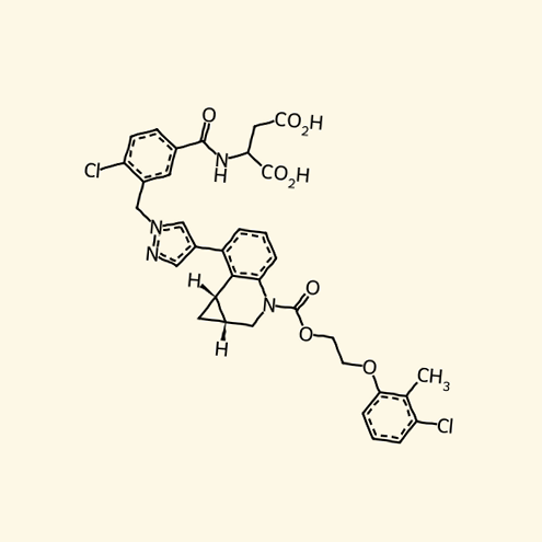 Cc1c(Cl)cccc1OCCOC(=O)N1C[C@@H]2C[C@@H]2c2c(-c3cnn(Cc4cc(C(=O)NC(CC(=O)O)C(=O)O)ccc4Cl)c3)cccc21